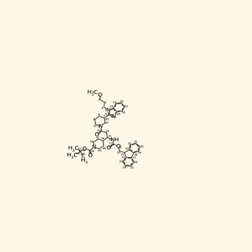 COCCCn1c([C@@H]2CCCN(C(=O)CC(NC(=O)OCC3c4ccccc4-c4ccccc43)C3CCN(C(=O)OC(C)(C)C)CC3)C2)nc2ccccc21